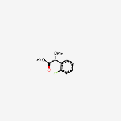 COC(=O)[C@H](OC)c1ccccc1F